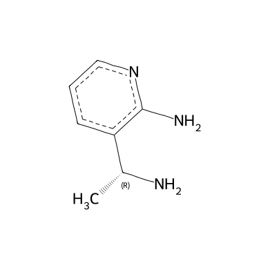 C[C@@H](N)c1cccnc1N